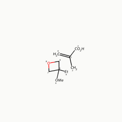 C=C(C)C(=O)O.CCC1(OC)COC1